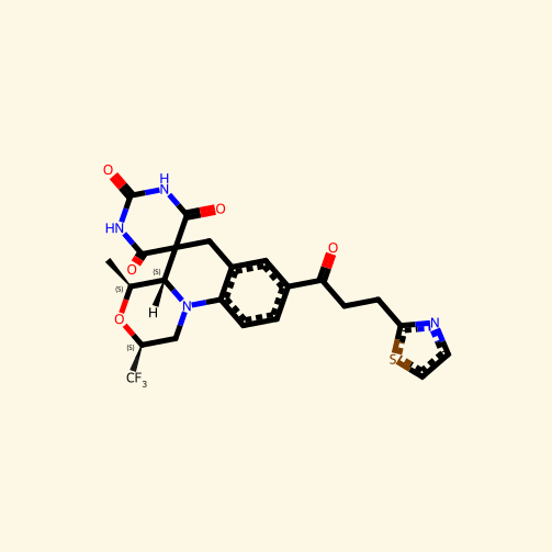 C[C@@H]1O[C@H](C(F)(F)F)CN2c3ccc(C(=O)CCc4nccs4)cc3CC3(C(=O)NC(=O)NC3=O)[C@@H]12